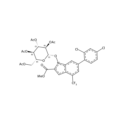 COC(=O)c1cc2c(C(F)(F)F)cc(-c3ccc(Cl)cc3Cl)cc2n1O[C@@H]1O[C@H](COC(C)=O)[C@@H](OC(C)=O)[C@H](OC(C)=O)[C@H]1OC(C)=O